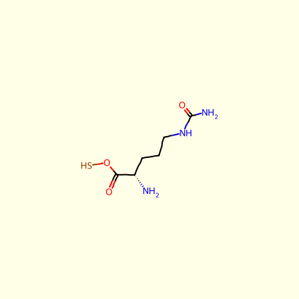 NC(=O)NCCC[C@H](N)C(=O)OS